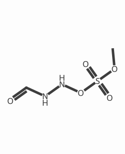 COS(=O)(=O)ONNC=O